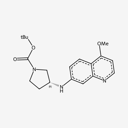 COc1ccnc2cc(N[C@@H]3CCN(C(=O)OC(C)(C)C)C3)ccc12